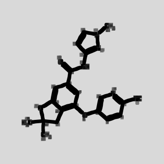 [C-]#[N+]c1ccc(Oc2cc(C(=O)Nc3ccn(C)n3)cc3c2CC(C)(C)O3)cn1